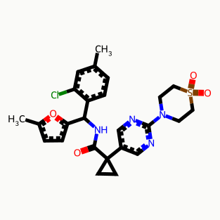 Cc1ccc(C(NC(=O)C2(c3cnc(N4CCS(=O)(=O)CC4)nc3)CC2)c2ccc(C)o2)c(Cl)c1